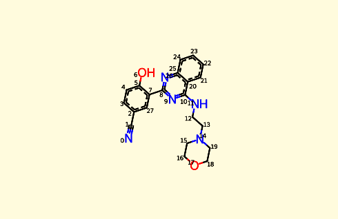 N#Cc1ccc(O)c(-c2nc(NCCN3CCOCC3)c3ccccc3n2)c1